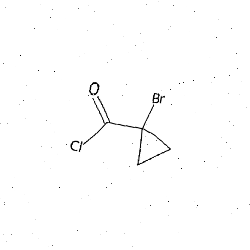 O=C(Cl)C1(Br)CC1